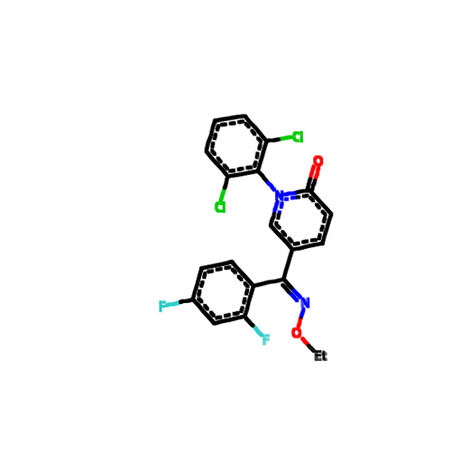 CCON=C(c1ccc(=O)n(-c2c(Cl)cccc2Cl)c1)c1ccc(F)cc1F